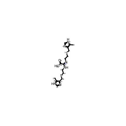 Cc1[nH]cnc1CSCC/N=C(/NCCSCc1nc[nH]c1C)C(=O)O